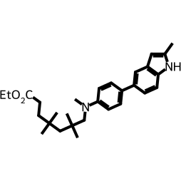 CCOC(=O)CCC(C)(C)CC(C)(C)CN(C)c1ccc(-c2ccc3[nH]c(C)cc3c2)cc1